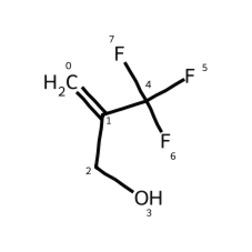 C=C(CO)C(F)(F)F